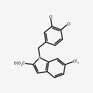 CCOC(=O)c1cc2ccc(C(F)(F)F)cc2n1Cc1ccc(Cl)c(Cl)c1